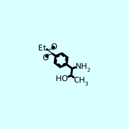 CCS(=O)(=O)c1ccc(C(N)C(C)O)cc1